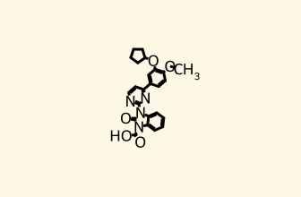 COc1ccc(-c2ccnc(-n3c(=O)n(C(=O)O)c4ccccc43)n2)cc1OC1CCCC1